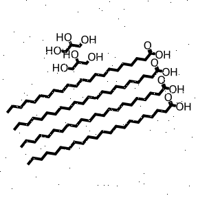 CCCCCCCCCCCCCCCCCCCCCC(=O)O.CCCCCCCCCCCCCCCCCCCCCC(=O)O.CCCCCCCCCCCCCCCCCCCCCC(=O)O.CCCCCCCCCCCCCCCCCCCCCC(=O)O.OCC(O)CO.OCC(O)CO